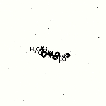 CC(C)OC1=CC=CC(c2nnc(-c3cccc4c3CCCC4NCC(=O)N3CCCC3)s2)C=C1C#N